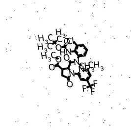 COC(=O)C1CC(=O)N(c2cc(C(F)(F)F)cc(C)n2)C1C(=O)N(C)c1cccc(Cl)c1NC(=O)OC(C)(C)C